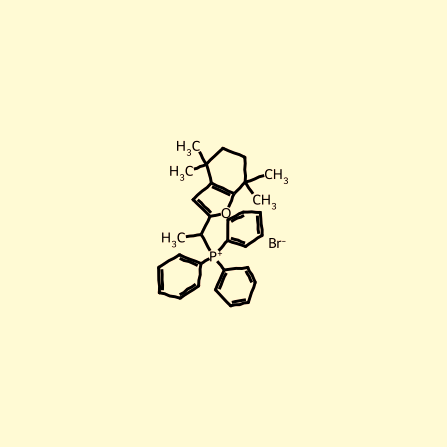 CC(c1cc2c(o1)C(C)(C)CCC2(C)C)[P+](c1ccccc1)(c1ccccc1)c1ccccc1.[Br-]